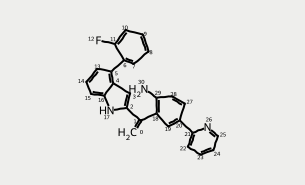 C=C(c1cc2c(-c3ccccc3F)cccc2[nH]1)c1cc(-c2ccccn2)ccc1N